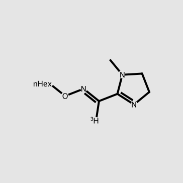 [3H]C(=NOCCCCCC)C1=NCCN1C